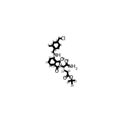 Cc1cc(CCl)ccc1CNc1cccc2c1C(=O)N([C@@H](CCC(=O)OC(C)(C)C)C(N)=O)C2=O